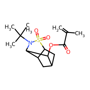 C=C(C)C(=O)OC1C2CC3C1N(C(C)(C)C)S(=O)(=O)C3C2